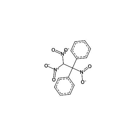 O=[N+]([O-])C([N+](=O)[O-])C(c1ccccc1)(c1ccccc1)[N+](=O)[O-]